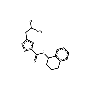 CC(C)Cc1noc(C(=O)NC2CCCc3ccccc32)n1